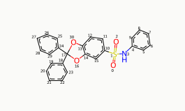 O=S(=O)(Nc1ccccc1)c1ccc2c(c1)OC(c1ccccc1)(c1ccccc1)O2